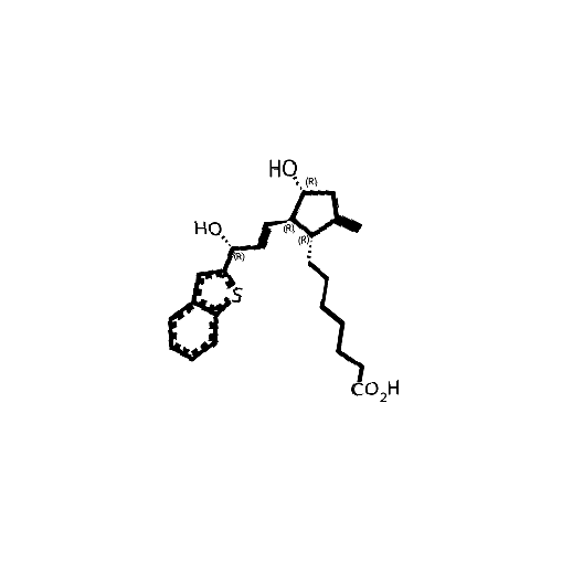 C=C1C[C@@H](O)[C@H](C=C[C@@H](O)c2cc3ccccc3s2)[C@H]1CCCCCCC(=O)O